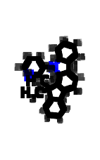 CC1(C)c2ccccc2-c2ccc3c4ccccc4n(-c4cccnc4)c3c21